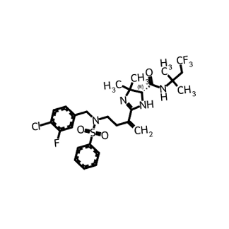 C=C(CCN(Cc1ccc(Cl)c(F)c1)S(=O)(=O)c1ccccc1)C1=NC(C)(C)[C@H](C(=O)NC(C)(C)CC(F)(F)F)N1